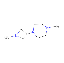 CC(C)N1CCN(C2CN(C(C)(C)C)C2)CC1